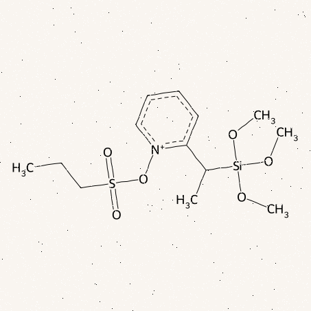 CCCS(=O)(=O)O[n+]1ccccc1C(C)[Si](OC)(OC)OC